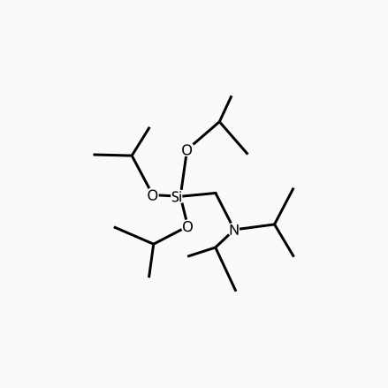 CC(C)O[Si](CN(C(C)C)C(C)C)(OC(C)C)OC(C)C